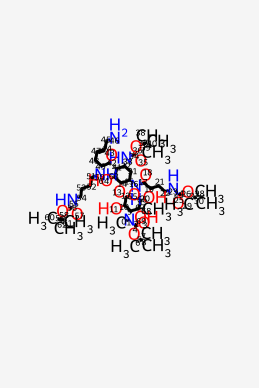 CN(C(=O)OC(C)(C)C)[C@@H]1[C@@H](O)[C@@H](O[C@H]2[C@H](NC(=O)[C@@H](O)CCNC(=O)OC(C)(C)C)C[C@H](NC(=O)OC(C)(C)C)C([C@H]3OC(CN)=CC[C@H]3NCCCCNC(=O)OC(C)(C)C)[C@@H]2O)OC[C@]1(C)O